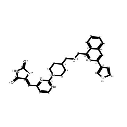 O=C1NC(=O)C(=Cc2ccnc(N3CCC(CNCc4nc(-c5ccoc5)cc5ccccc45)CC3)n2)S1